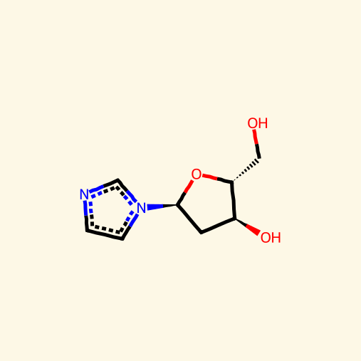 OC[C@H]1O[C@H](n2ccnc2)C[C@@H]1O